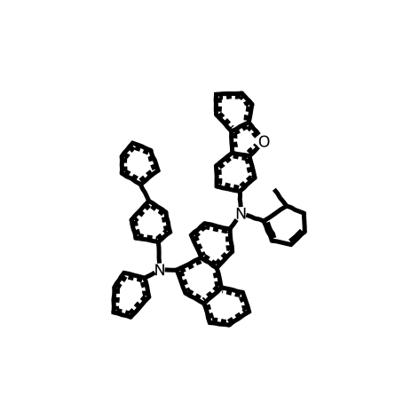 CC1CC=CC=C1N(c1ccc2c(c1)oc1ccccc12)c1ccc2c(N(c3ccccc3)c3ccc(-c4ccccc4)cc3)cc3ccccc3c2c1